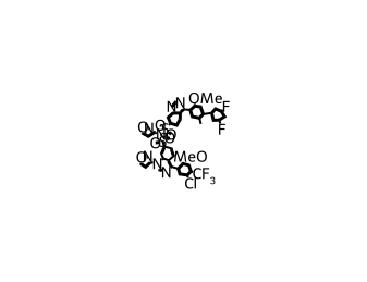 COc1cc(C(F)(F)F)c(Cl)cc1C1=C2C=CC(S(=O)(=O)N(c3ccon3)S(=O)(=O)c3ccc4c(-c5cc(C)c(-c6cc(F)cc(F)c6)cc5OC)ncnc4c3)=CC2N(c2ccon2)C=N1